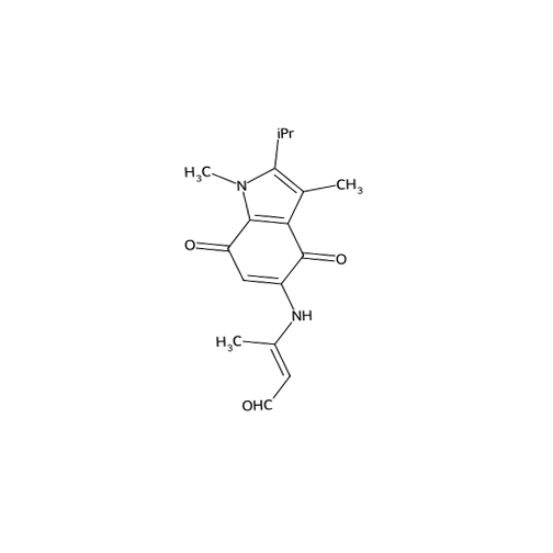 C/C(=C\C=O)NC1=CC(=O)c2c(c(C)c(C(C)C)n2C)C1=O